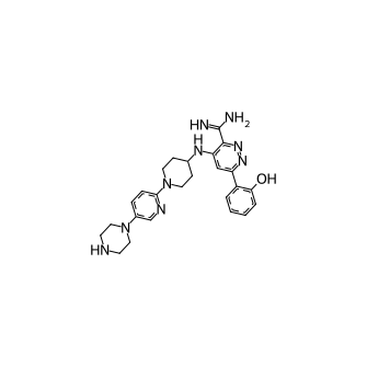 N=C(N)c1nnc(-c2ccccc2O)cc1NC1CCN(c2ccc(N3CCNCC3)cn2)CC1